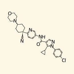 N#C[C@]1(c2ccc(NC(=O)c3cnn(-c4ccc(Cl)cc4)c3C3CC3)cn2)CC[C@H](N2CCOCC2)CC1